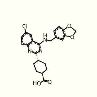 O=C(O)[C@H]1CC[C@H](c2nc(NCc3ccc4c(c3)OCO4)c3cc(Cl)ccc3n2)CC1